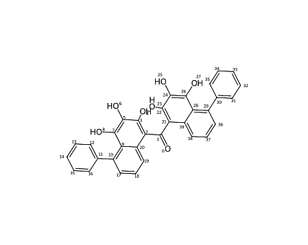 O=C(c1c(O)c(O)c(O)c2c(-c3ccccc3)cccc12)c1c(O)c(O)c(O)c2c(-c3ccccc3)cccc12